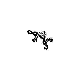 C1=NC2=NC(c3ccc(N4CCCCC4)cc3Nc3nccs3)=CC3=CC(c4ccc(C5CCCCC5)cc4Nc4nccs4)=NC(=N1)N32